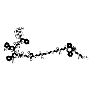 CNC(=O)NNC(=O)NC(Cc1ccccc1)C(=O)NCC(=O)NC(Cc1c[nH]c2ccccc12)C(=O)NC(Cc1c[nH]c2ccccc12)C(=O)NCC(=O)NCCN1C(=O)CC(SCCC(=O)NCCOCCOCCC(=O)NCCC(=O)N2Cc3ccccc3-c3c(nnn3CCNCCN)-c3ccccc32)C1=O